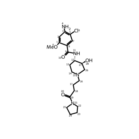 COc1cc(N)c(Cl)cc1C(=O)N[C@H]1CCN(CCCC(=O)N2CCCC2)C[C@@H]1O